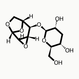 OC[C@H]1O[C@@H](O[C@H]2[C@@H]3O[C@@H]3[C@@H]3OC[C@H]2O3)[C@H](O)C[C@@H]1O